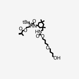 C=C(C)C(=O)OCCN(C(=O)NC1CC(C)(C)CC(C)(CNC(=O)OCCCCOCCCCO)C1)C(C)(C)C